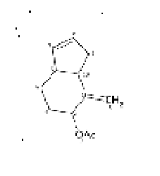 C=C1C(OC(C)=O)CCC2C=CCC12